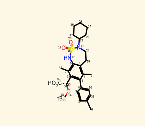 Cc1ccc(-c2c(C)c3c(c(C)c2[C@H](OC(C)(C)C)C(=O)O)NS(=O)(=O)N(C2CCCCC2)CC3)cc1